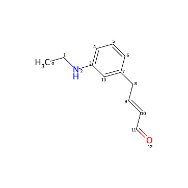 CCNc1cccc(CC=CC=O)c1